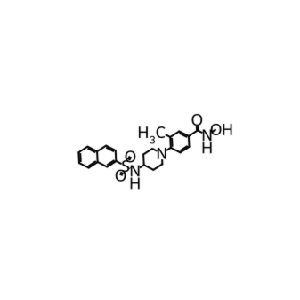 Cc1cc(C(=O)NO)ccc1N1CCC(NS(=O)(=O)c2ccc3ccccc3c2)CC1